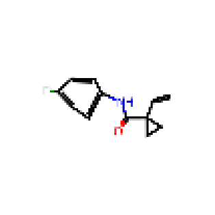 C=CC1(C(=O)Nc2ccc(F)cc2)CC1